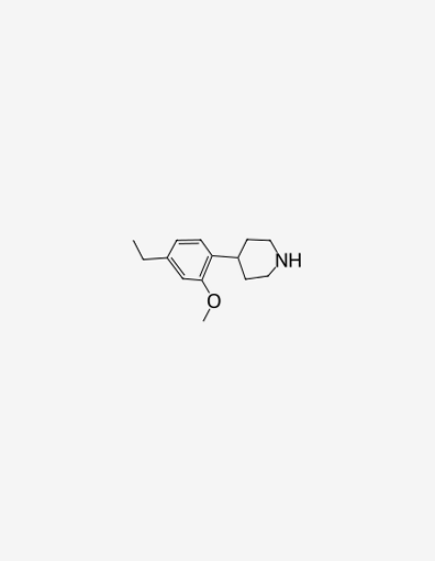 CCc1ccc(C2CCNCC2)c(OC)c1